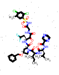 CC[C@@H](C)C(NC(=O)[C@H](CC(C)C)NC(=O)c1cnccn1)C(=O)N1C[C@H](OCc2ccccc2)C[C@H]1C(=O)N[C@@H](CC(F)F)C(=O)C(=O)NCC(=O)NS(=O)(=O)c1cc(C)c(Cl)cc1Cl